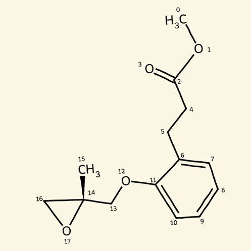 COC(=O)CCc1ccccc1OC[C@@]1(C)CO1